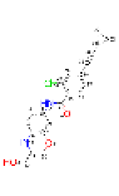 O=C(Nc1ccc2c(c1)OCC(CO)N2)c1ccc(C#CC2CC2)cc1Cl